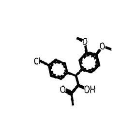 COc1ccc(C(c2ccc(Cl)cc2)C(O)C(C)=O)cc1OC